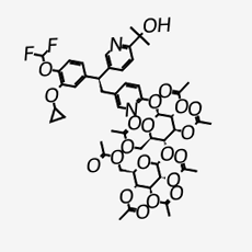 CC(=O)OC[C@H]1O[C@@H](O[C@H]2[C@H](OC(C)=O)[C@@H](OC(C)=O)[C@H](Oc3ccc(C[C@H](c4ccc(C(C)(C)O)nc4)c4ccc(OC(F)F)c(OC5CC5)c4)cn3)O[C@@H]2COC(C)=O)[C@H](OC(C)=O)[C@@H](OC(C)=O)[C@@H]1OC(C)=O